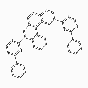 c1ccc(-c2ncnc(-c3ccc4ccc5cc(-c6ncnc(-c7ccccc7)n6)c6ccccc6c5c4c3)n2)cc1